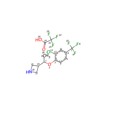 CC(Oc1ccc(C(F)(F)F)cc1Cl)C1CNC1.O=C(O)C(F)(F)F